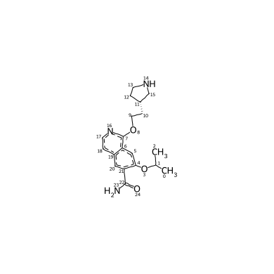 CC(C)Oc1cc2c(OCC[C@@H]3CCNC3)nccc2cc1C(N)=O